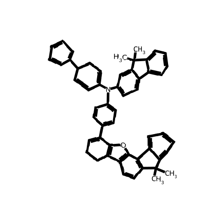 CC1(C)c2ccccc2-c2ccc(N(C3=CCC(c4ccccc4)C=C3)c3ccc(C4=CCCc5c4oc4c6c(ccc54)C(C)(C)c4ccccc4-6)cc3)cc21